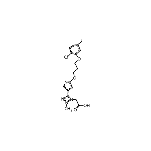 Cn1nc(-c2cnc(OCCCOc3cc(I)ccc3Cl)s2)n1CC(=O)O